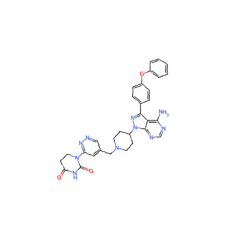 Nc1ncnc2c1c(-c1ccc(Oc3ccccc3)cc1)nn2C1CCN(Cc2cnnc(N3CCC(=O)NC3=O)c2)CC1